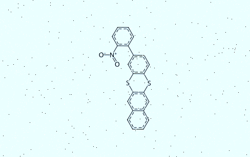 O=[N+]([O-])c1ccccc1-c1ccc2c(c1)Sc1cc3ccccc3cc1S2